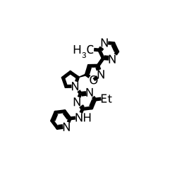 CCc1cc(Nc2ccccn2)nc(N2CCC[C@H]2c2cc(-c3nccnc3C)no2)n1